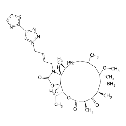 B[C@@H]1[C@@H](C)C(=O)[C@@H](C)C(=O)O[C@H](CC)[C@@]2(C)OC(=O)N(C/C=C/Cn3cc(-c4nccs4)nn3)[C@@H]2[C@@H](C)NC[C@H](C)C[C@@]1(C)OC